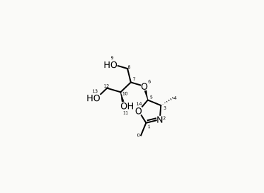 CC1=N[C@@H](C)[C@H](OC(CO)[C@@H](O)CO)O1